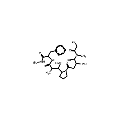 CCC(C)C(C(CC(=O)N1CCCC1C(OC)C(C)C(=O)NC(Cc1ccccc1)C(=O)NC(C)(C)C)OC)N(C)C(=O)CC(C)C